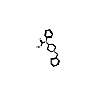 CCCCC(=O)N(c1ccccc1)C1CCN(Cc2ccccc2)CC1